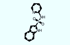 O=S(=O)(Nc1ccccn1)c1cc2ccccc2[nH]1